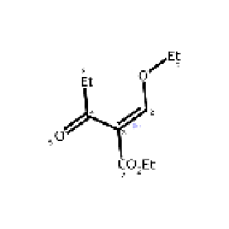 CCO/C=C(\C(=O)CC)C(=O)OCC